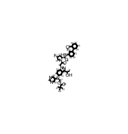 CC(O)c1nn(CC(=O)N2C[C@H](F)C[C@H]2C(=O)Nc2cccc(-c3ccccc3Cl)c2F)c2ccc(N(COC(=O)C(C)(C)C)c3cncnc3)cc12